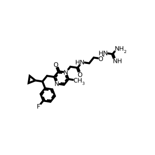 Cc1cnc(CC(c2cccc(F)c2)C2CC2)c(=O)n1CC(=O)NCCONC(=N)N